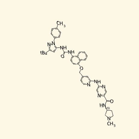 Cc1ccc(-n2nc(C(C)(C)C)cc2NC(=O)Nc2ccc(OCc3ccnc(Nc4cnc(C(=O)N[C@H]5CCN(C)C5)cn4)c3)c3ccccc23)cc1